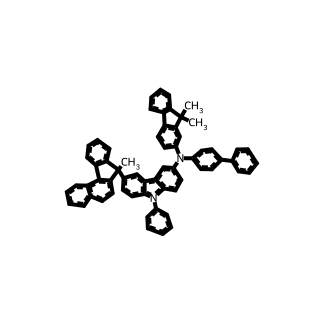 CC1(C)c2ccccc2-c2ccc(N(c3ccc(-c4ccccc4)cc3)c3ccc4c(c3)c3cc(C5(C)c6ccccc6-c6c5ccc5ccccc65)ccc3n4-c3ccccc3)cc21